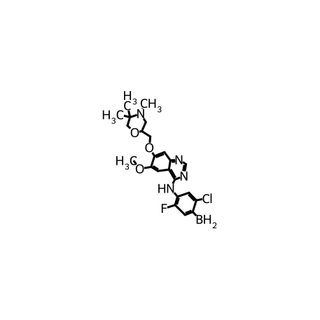 Bc1cc(F)c(Nc2ncnc3cc(OCC4CN(C)C(C)(C)CO4)c(OC)cc23)cc1Cl